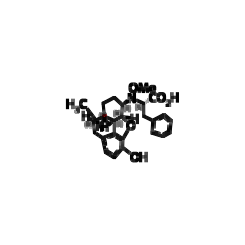 CON([C@@H]1CC[C@H]2[C@H]3Cc4ccc(O)c5c4[C@@]2(CCN3C)[C@H]1O5)[C@@H](Cc1ccccc1)C(=O)O